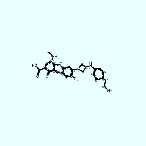 CNn1cc(C(=O)O)c(=O)c2cc3cc(F)c(N4CC(Nc5ccc(CCN)cc5)C4)cc3nc21